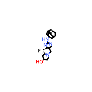 OC1CCN(Cc2cnc(NC34CCC5CC(CC(C5)C3)C4)nc2C(F)(F)F)CC1